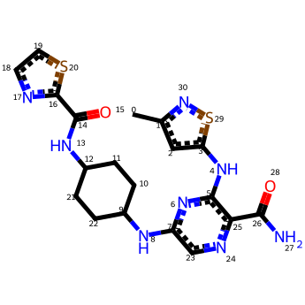 Cc1cc(Nc2nc(NC3CCC(NC(=O)c4nccs4)CC3)cnc2C(N)=O)sn1